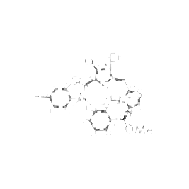 CCn1c(=O)/c(=C2\Sc3cc(F)ccc3N2C)s/c1=C\c1scc[n+]1Cc1ccccc1C(=O)OC